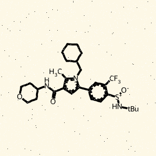 Cc1c(C(=O)NC2CCOCC2)cc(-c2ccc([S+]([O-])NC(C)(C)C)c(C(F)(F)F)c2)n1CC1CCCCC1